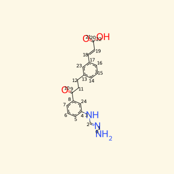 NN=CNc1cccc(C(=O)CCc2cccc(C=CC(=O)O)c2)c1